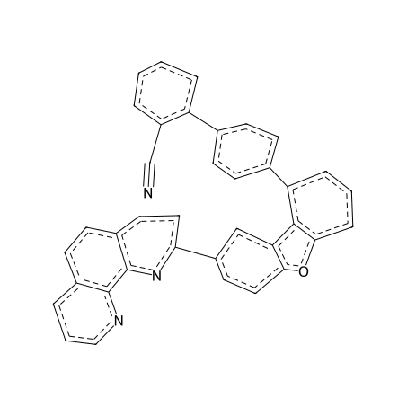 N#Cc1ccccc1-c1ccc(-c2cccc3oc4ccc(-c5ccc6ccc7cccnc7c6n5)cc4c23)cc1